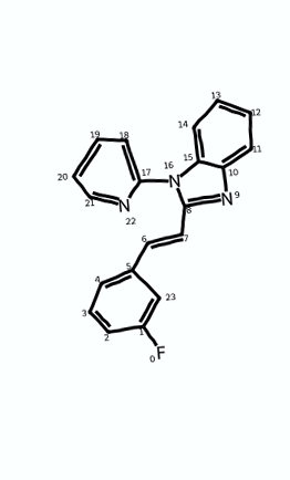 Fc1cccc(/C=C/c2nc3ccccc3n2-c2ccccn2)c1